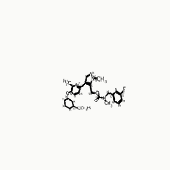 Cc1nc(-c2cnn(C)c2COC(=O)N(C)Cc2cccc(F)c2)ccc1O[C@H]1CCCC(C(=O)O)C1